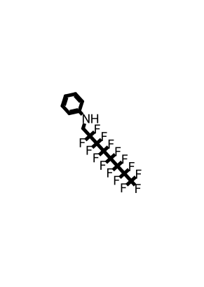 FC(F)(F)C(F)(F)C(F)(F)C(F)(F)C(F)(F)C(F)(F)C(F)(F)CNc1ccccc1